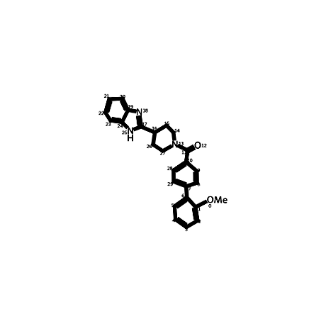 COc1ccccc1-c1ccc(C(=O)N2CCC(c3nc4ccccc4[nH]3)CC2)cc1